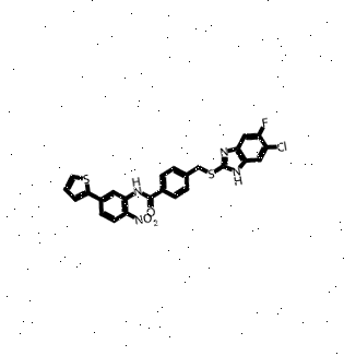 O=C(Nc1cc(-c2cccs2)ccc1[N+](=O)[O-])c1ccc(CSc2nc3cc(F)c(Cl)cc3[nH]2)cc1